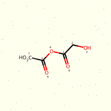 O=C(CO)OC(=O)C(=O)O